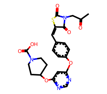 CC(=O)CN1C(=O)SC(=Cc2ccc(Oc3cc(OC4CCN(C(=O)O)CC4)ncn3)cc2)C1=O